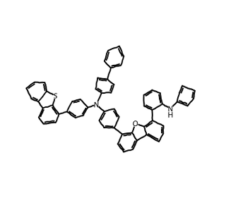 c1ccc(Nc2ccccc2-c2cccc3c2oc2c(-c4ccc(N(c5ccc(-c6ccccc6)cc5)c5ccc(-c6cccc7c6sc6ccccc67)cc5)cc4)cccc23)cc1